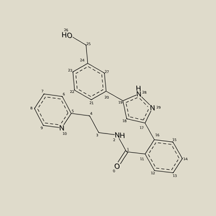 O=C(NCCc1ccccn1)c1ccccc1-c1cc(-c2cccc(CO)c2)[nH]n1